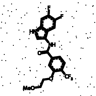 COCCOc1cc(C(=O)Nc2c[nH]c3cc(F)c(F)cc23)ccc1C(F)(F)F